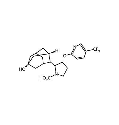 O=C(O)N1CC[C@@H](Oc2ccc(C(F)(F)F)cn2)C1C1C2CC3C[C@H]1C[C@@](O)(C3)C2